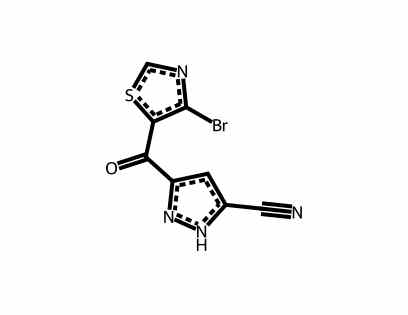 N#Cc1cc(C(=O)c2scnc2Br)n[nH]1